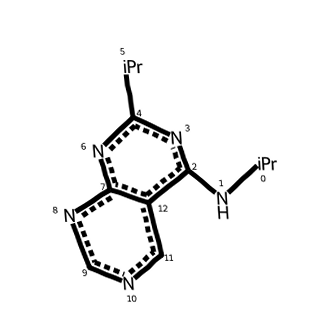 CC(C)Nc1nc(C(C)C)nc2ncncc12